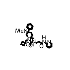 CN[C@]1(c2ccccc2)CC[C@]2(CC1)CN(CCC(=O)Nc1ccccn1)C(=O)N2CC1(O)CCC1